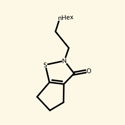 CCCCCCCCn1sc2c(c1=O)CCC2